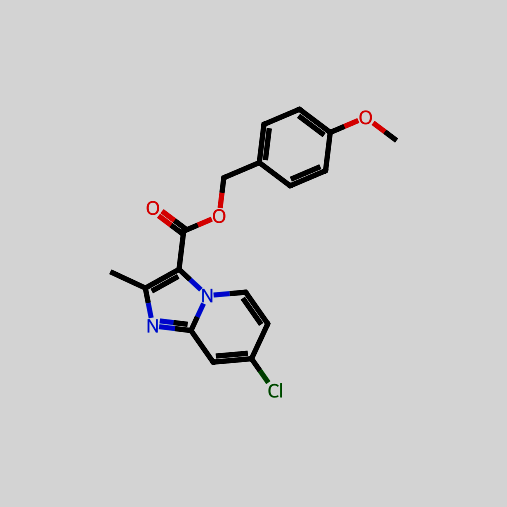 COc1ccc(COC(=O)c2c(C)nc3cc(Cl)ccn23)cc1